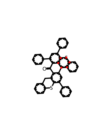 O=C(c1c(-c2ccccc2)cc(-c2ccccc2)c2c1Cc1ccccc1S2)c1c(-c2ccccc2)cc(-c2ccccc2)c2c1Cc1ccccc1S2